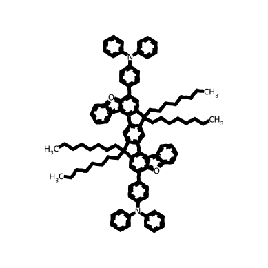 CCCCCCCCC1(CCCCCCCC)c2cc3c(cc2-c2c1cc(-c1ccc(N(c4ccccc4)c4ccccc4)cc1)c1oc4ccccc4c21)C(CCCCCCCC)(CCCCCCCC)c1cc(-c2ccc(N(c4ccccc4)c4ccccc4)cc2)c2oc4ccccc4c2c1-3